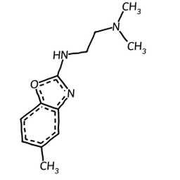 Cc1ccc2oc(NCCN(C)C)nc2c1